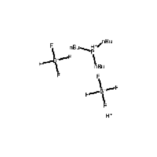 CCCC[PH+](CCCC)CCCC.F[B-](F)(F)F.F[B-](F)(F)F.[H+]